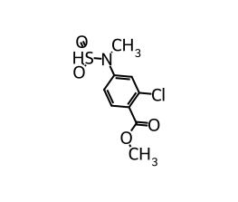 COC(=O)c1ccc(N(C)[SH](=O)=O)cc1Cl